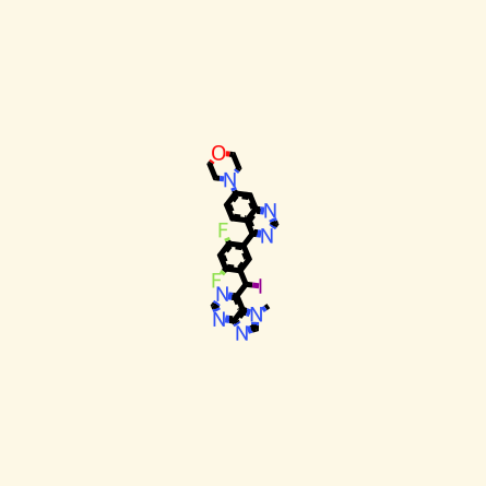 Cn1cnc2ncnc(C(I)c3cc(-c4ncnc5cc(N6CCOCC6)ccc45)c(F)cc3F)c21